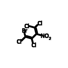 O=[N+]([O-])C(=C(Cl)Cl)C(Cl)=C(Cl)Br